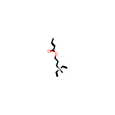 C=C[Si](C)(C=C)CCCOC(=O)C=CC